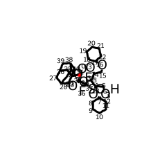 O=C(OC(C1COC2(CCCCC2)O1)C1COC2(CCCCC2)O1)C12CC3CC(C1)C(OC(=O)C(F)(F)S(=O)(=O)O)C(C3)C2